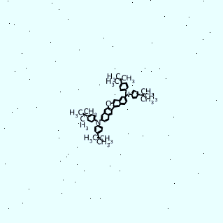 CC(C)(C)C1=CC=C(N(c2ccc(C(C)(C)C)cc2)c2ccc3cc4c(cc3c2)oc2cc3cc(N(c5ccc(C(C)(C)C)cc5)c5ccc(C(C)(C)C)cc5)ccc3cc24)CC1